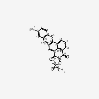 CC(C)c1ccc(Sc2ccc3c4c(cccc24)C(=O)N(OS(C)(=O)=O)C3=O)c(C(C)C)c1